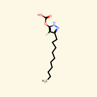 CCCCCCCCCCc1n[nH]c(OC(=O)O)c1F